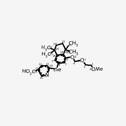 COCCOCOc1cc([Se]c2ccc(C(=O)O)cn2)cc2c1C(C)(C)CCC2(C)C